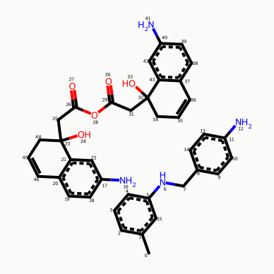 Cc1cccc(NCc2ccc(N)cc2)c1.Nc1ccc2c(c1)C(O)(CC(=O)OC(=O)CC1(O)CC=Cc3ccc(N)cc31)CC=C2